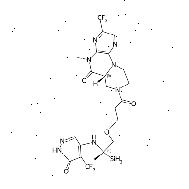 CN1C(=O)[C@H]2CN(C(=O)CCOC[C@](C)([SiH3])Nc3cn[nH]c(=O)c3C(F)(F)F)CCN2c2ncc(C(F)(F)F)nc21